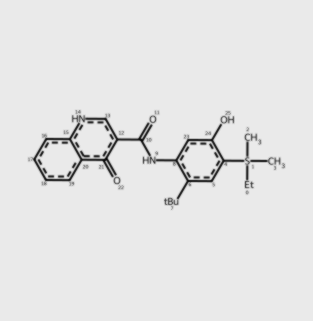 CCS(C)(C)c1cc(C(C)(C)C)c(NC(=O)c2c[nH]c3ccccc3c2=O)cc1O